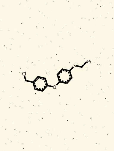 CC(C)CSc1ccc(Oc2ccc(CCl)cc2)cc1